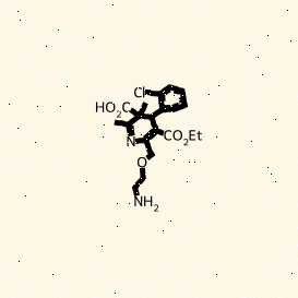 CCOC(=O)C1=C(COCCN)N=C(C)C(C)(C(=O)O)C1c1ccccc1Cl